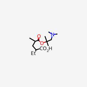 CCC(CC(C)C(=O)OC(C)(C)CN(C)C)C(=O)O